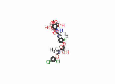 C/C(=C\c1ccc(O[C@H]2C[C@H](O)[C@@H](/C(C)=C/COc3ccc(Cl)cc3Cl)O2)c(F)c1)C(=O)N[C@@H]1[C@H](O)[C@@H](O)[C@H]2OCO[C@H]2[C@@H]1O